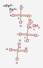 O.O.O=S(=O)([O-])[O-].O=S(=O)([O-])[O-].O=S(=O)([O-])[O-].[Fe+3].[Fe+3]